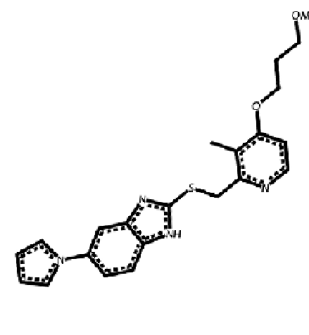 COCCCOc1ccnc(CSc2nc3cc(-n4cccc4)ccc3[nH]2)c1C